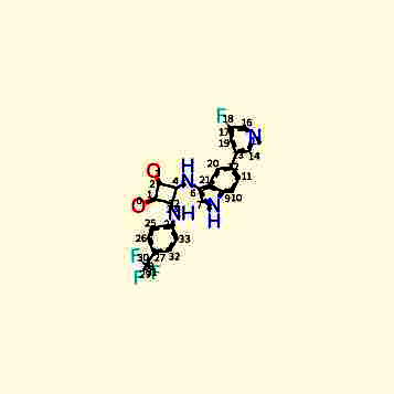 O=C1C(=O)C(Nc2c[nH]c3ccc(-c4cncc(F)c4)cc23)C1Nc1ccc(C(F)(F)F)cc1